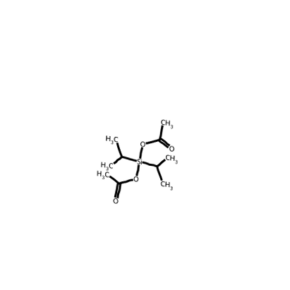 CC(=O)O[Si](OC(C)=O)(C(C)C)C(C)C